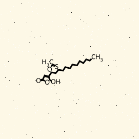 CCCCCCCCCCCCC(OC(C)=S)C1=CC(=O)OC1O